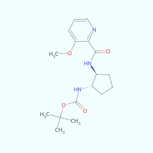 COc1cccnc1C(=O)N[C@H]1CCC[C@@H]1NC(=O)OC(C)(C)C